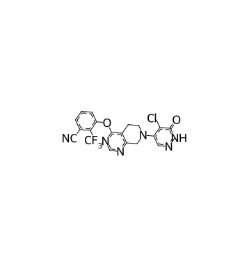 N#Cc1cccc(Oc2ncnc3c2CCN(c2cn[nH]c(=O)c2Cl)C3)c1C(F)(F)F